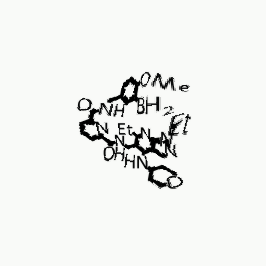 Bc1cc(CNC(=O)c2cccc(C(=O)NCc3c(CC)nc4c(cnn4CC)c3NC3CCOCC3)n2)ccc1OC